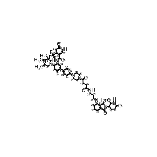 C[C@@H]1CN(c2cc(F)c(-c3ccc(N4CCN(C(=O)CCC(=O)NCCCNc5cccc6c5C(=O)N(C5CCC(=O)NC5=O)C6=O)CC4)nc3)cc2NC(=O)c2c[nH]c(=O)cc2C(F)(F)F)C[C@H](C)N1C